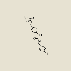 CS(=O)(=O)CCc1ccc(NC(=O)NCc2ccc(Cl)cc2)cc1